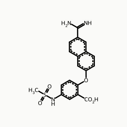 CS(=O)(=O)Nc1ccc(Oc2ccc3cc(C(=N)N)ccc3c2)c(C(=O)O)c1